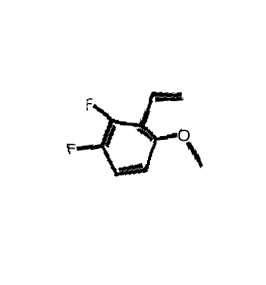 C=Cc1c(OC)ccc(F)c1F